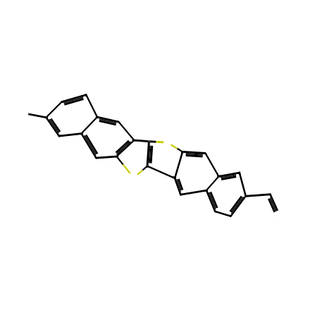 B=Cc1ccc2cc3c(cc2c1)sc1c2cc4ccc(C)cc4cc2sc31